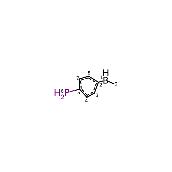 CBc1ccc(P)cc1